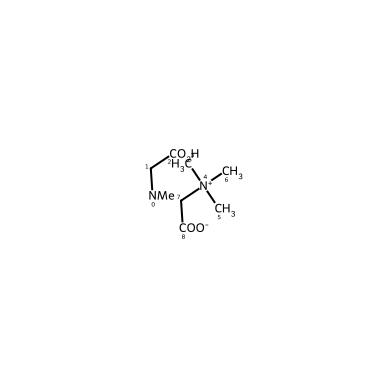 CNCC(=O)O.C[N+](C)(C)CC(=O)[O-]